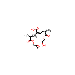 C=C(C)C(=O)OCC1CO1.C=C(CC=C(C)C(=O)O)C(=O)OCCO